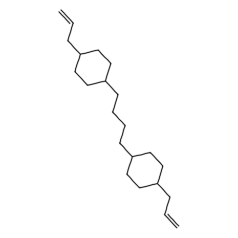 C=CCC1CCC(CCCCC2CCC(CC=C)CC2)CC1